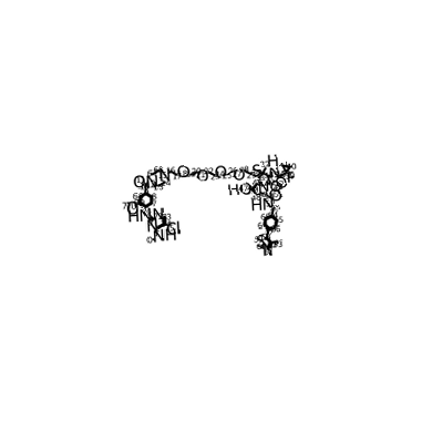 CNc1nc(Nc2ccc(C(=O)N3CCN(CCOCCOCCOCCOCCSC(C)(C)C(NC(=O)C4(F)CC4)C(=O)N4C[C@H](O)C[C@H]4C(=O)NCc4ccc(-c5scnc5C)cc4)CC3)cc2OC)ncc1Cl